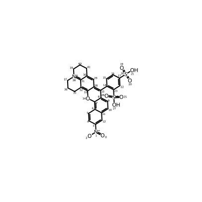 O=[N+]([O-])c1ccc2c3c(ccc2c1)C(c1ccc(S(=O)(=O)O)cc1S(=O)(=O)O)=c1cc2c4c(c1O3)CCC[N+]=4CCC2